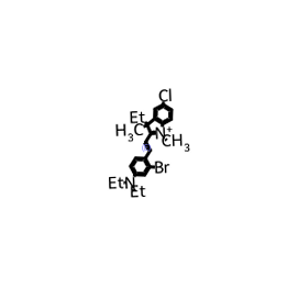 CCN(CC)c1ccc(/C=C/C2=[N+](C)c3ccc(Cl)cc3C2(C)CC)c(Br)c1